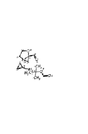 CC(C)(C)OC=O.NC1CC1.O=CC12CN1CCO2